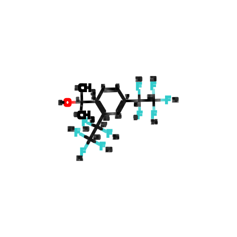 CC(C)([O])c1ccc(C(F)(F)C(F)(F)F)cc1C(F)(F)C(F)(F)F